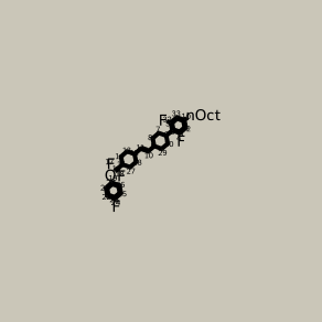 CCCCCCCCc1cc(F)c(C2CCC(/C=C/C3CCC(C(F)(F)Oc4ccc(F)cc4)CC3)CC2)c(F)c1